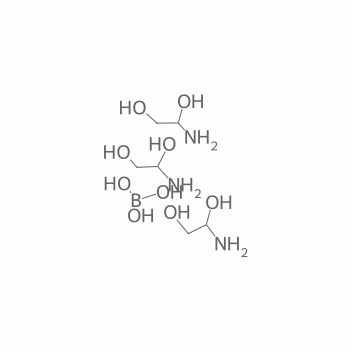 NC(O)CO.NC(O)CO.NC(O)CO.OB(O)O